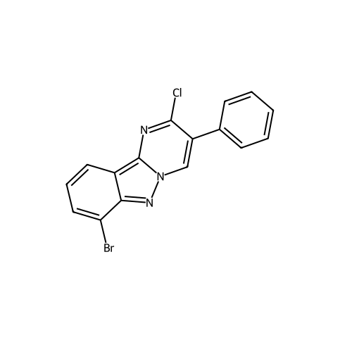 Clc1nc2c3cccc(Br)c3nn2cc1-c1ccccc1